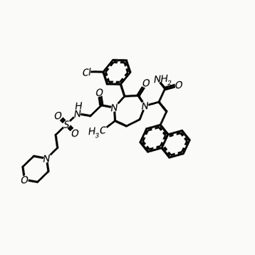 CC1CCN(C(Cc2cccc3ccccc23)C(N)=O)C(=O)C(c2cccc(Cl)c2)N1C(=O)CNS(=O)(=O)CCN1CCOCC1